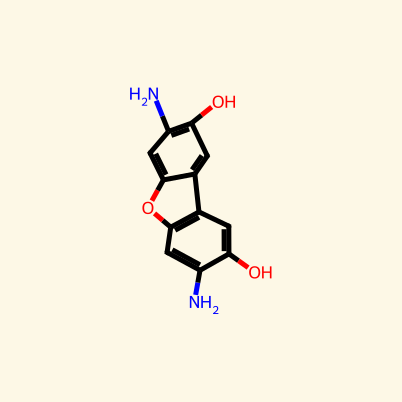 Nc1cc2oc3cc(N)c(O)cc3c2cc1O